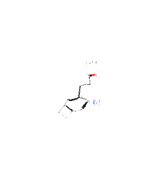 CC(C)(C)OC(=O)CCc1ccc2c(c1)CC2.Cl.N